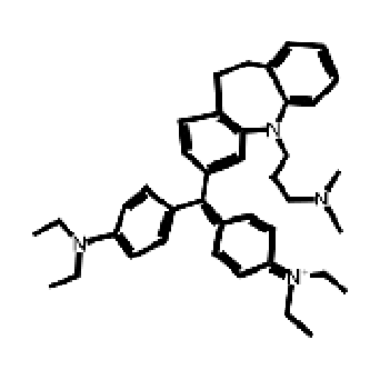 CCN(CC)c1ccc(C(=C2C=CC(=[N+](CC)CC)C=C2)c2ccc3c(c2)N(CCCN(C)C)c2ccccc2CC3)cc1